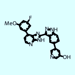 COc1cc(F)cc(-c2ccnc3[nH]c(-c4n[nH]c5ccc(-c6cncc(O)c6)cc45)nc23)c1